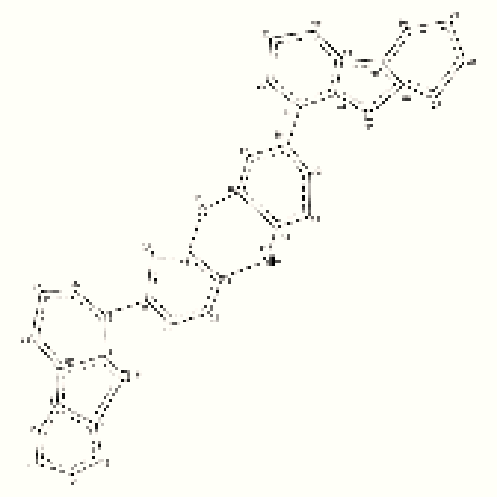 c1ccc2c(c1)oc1c(-c3ccc4c(c3)Oc3cc(-c5cccc6c5oc5ccccc56)ccc3N4)cccc12